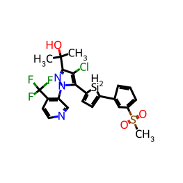 CC(C)(O)c1nn(-c2cnccc2C(F)(F)F)c(C2=CC=C(c3cccc(S(C)(=O)=O)c3)[SiH2]2)c1Cl